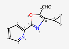 O=Cc1oc(-c2ccccn2)nc1C1CC1